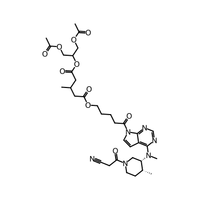 CC(=O)OCC(COC(C)=O)OC(=O)CC(C)CC(=O)OCCCCC(=O)n1ccc2c(N(C)[C@H]3CN(C(=O)CC#N)CC[C@H]3C)ncnc21